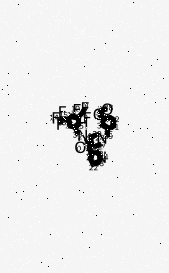 O=C(NCc1cc(C(F)(F)F)cc(C(F)(F)F)c1)C1(Cc2cccnc2)CCN(Cc2ccc3c(c2)OCO3)CC1